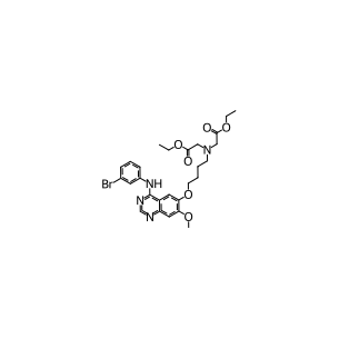 CCOC(=O)CN(CCCCOc1cc2c(Nc3cccc(Br)c3)ncnc2cc1OC)CC(=O)OCC